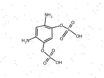 Nc1cc(N)c(OS(=O)(=O)O)cc1OS(=O)(=O)O